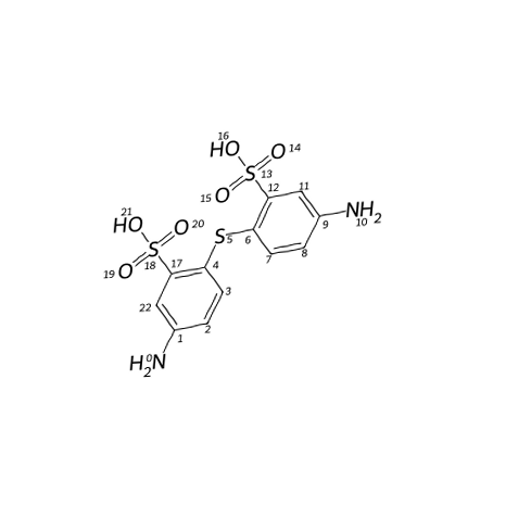 Nc1ccc(Sc2ccc(N)cc2S(=O)(=O)O)c(S(=O)(=O)O)c1